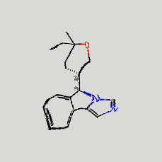 CC1(C)C[C@@H]([C@@H]2c3ccccc3-c3cncn32)CO1